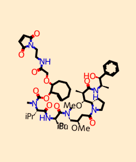 CC[C@H](C)[C@@H]([C@@H](CC(=O)N1CCC[C@H]1[C@H](OC)[C@@H](C)C(=O)N[C@H](C)[C@@H](O)c1ccccc1)OC)N(C)C(=O)[C@H](NC(=O)[C@H](C(C)C)N(C)C(=O)OC1/C=C/CCCCC1OCC(=O)NCCN1C(=O)C=CC1=O)C(C)C